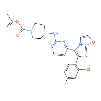 C=C(C)OC(=O)N1CCC(Nc2nccc(-c3c(-c4ccc(F)cc4Cl)nc4occn34)n2)CC1